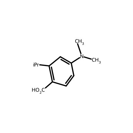 CC(C)c1cc(N(C)C)ccc1C(=O)O